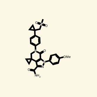 COc1ccc(-n2nc(C(N)=O)c3c2C(=O)N(c2ccc(C4(CS(C)(=O)=O)CC4)cc2)CC32CC2)cc1